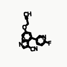 C#CCOc1cc(-c2ccc(F)nc2)c2c(C#N)cnn2c1